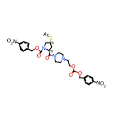 CC(=O)S[C@H]1C[C@@H](C(=O)N2CCN(CCOC(=O)OCc3ccc([N+](=O)[O-])cc3)CC2)N(C(=O)OCc2ccc([N+](=O)[O-])cc2)C1